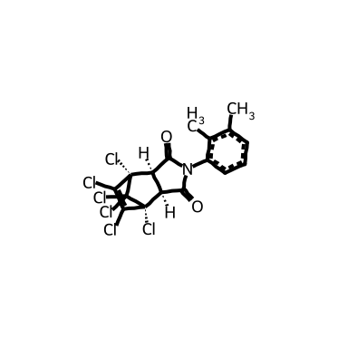 Cc1cccc(N2C(=O)[C@@H]3[C@H](C2=O)[C@]2(Cl)C(Cl)=C(Cl)[C@@]3(Cl)C2(Cl)Cl)c1C